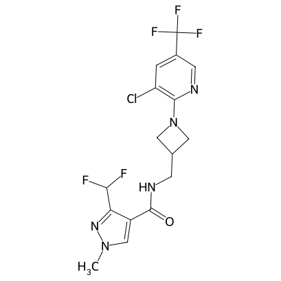 Cn1cc(C(=O)NCC2CN(c3ncc(C(F)(F)F)cc3Cl)C2)c(C(F)F)n1